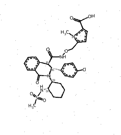 Cn1c(CONC(=O)[C@@H]2c3ccccc3C(=O)N([C@H]3CCCC[C@@H]3NS(C)(=O)=O)[C@H]2c2ccc(Cl)cc2)ccc1C(=O)O